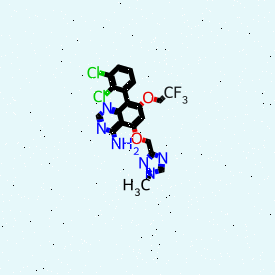 Cn1cnc(COc2cc(OCC(F)(F)F)c(-c3cccc(Cl)c3Cl)c3ncnc(N)c23)n1